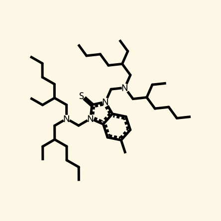 CCCCC(CC)CN(CC(CC)CCCC)Cn1c(=S)n(CN(CC(CC)CCCC)CC(CC)CCCC)c2cc(C)ccc21